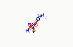 CC(C)(C)SSC[C@@H](NC(=O)OCc1ccc(N)cc1)C(=O)OCC#N